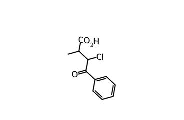 CC(C(=O)O)C(Cl)C(=O)c1ccccc1